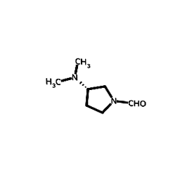 CN(C)[C@H]1CCN(C=O)C1